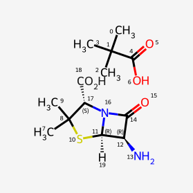 CC(C)(C)C(=O)O.CC1(C)S[C@@H]2[C@H](N)C(=O)N2[C@H]1C(=O)O